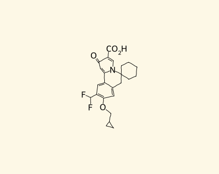 O=C(O)c1cn2c(cc1=O)-c1cc(C(F)F)c(OCC3CC3)cc1CC21CCCCC1